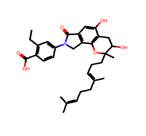 CCc1cc(N2Cc3c(cc(O)c4c3OC(C)(CC/C=C(\C)CCC=C(C)C)C(O)C4)C2=O)ccc1C(=O)O